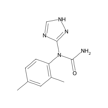 Cc1ccc(N(C(N)=O)c2nc[nH]n2)c(C)c1